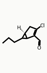 CCCC1C2C(C=O)=C(Cl)C[C@H]12